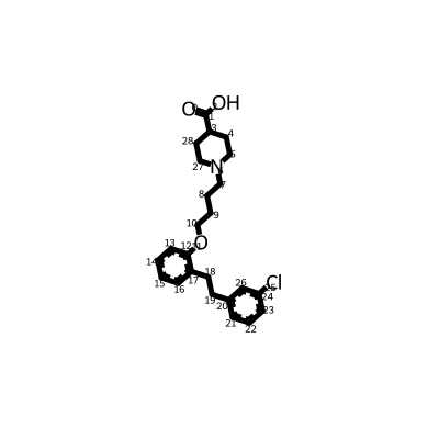 O=C(O)C1CCN(CCCCOc2ccccc2CCc2cccc(Cl)c2)CC1